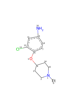 CCN1CCC(Oc2ccc(N)cc2Cl)CC1